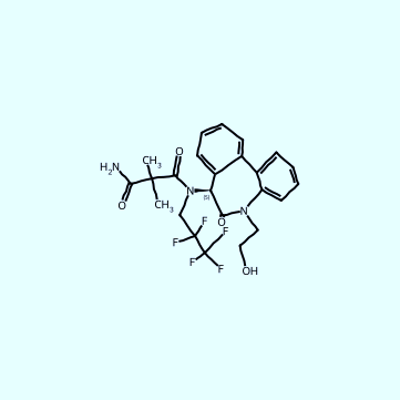 CC(C)(C(N)=O)C(=O)N(CC(F)(F)C(F)(F)F)[C@@H]1C(=O)N(CCO)c2ccccc2-c2ccccc21